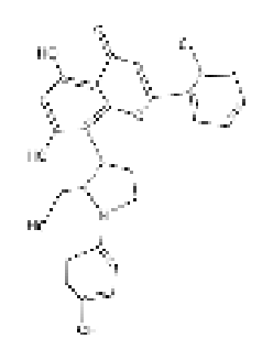 O=c1cc(-c2ccccc2Cl)oc2c(C3CCN(c4ccc(O)cc4)C3CO)c(O)cc(O)c12